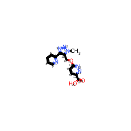 Cn1nnc(-c2ccccn2)c1COc1ccc(C(=O)O)nn1